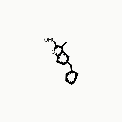 Cc1c(C=O)oc2ccc(Cc3ccccc3)cc12